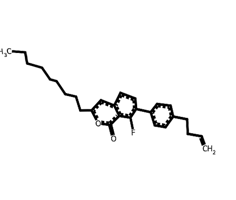 C=CCCc1ccc(-c2ccc3cc(CCCCCCCCC)oc(=O)c3c2F)cc1